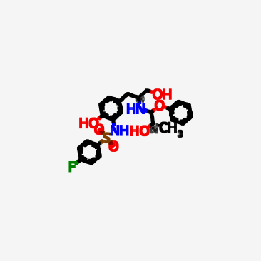 C[C@H](O)C(N[C@H](CO)Cc1ccc(O)c(NS(=O)(=O)c2ccc(F)cc2)c1)Oc1ccccc1